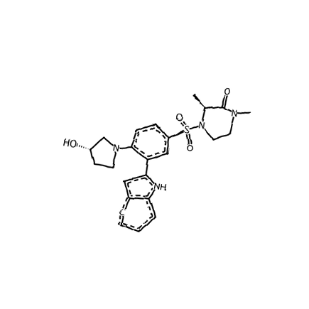 C[C@H]1C(=O)N(C)CCN1S(=O)(=O)c1ccc(N2CC[C@H](O)C2)c(-c2cc3ccccc3[nH]2)c1